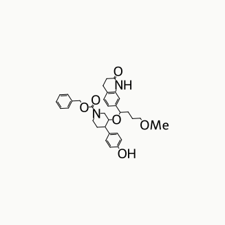 COCCCC(OC1CN(C(=O)OCc2ccccc2)CCC1c1ccc(O)cc1)c1ccc2c(c1)NC(=O)CC2